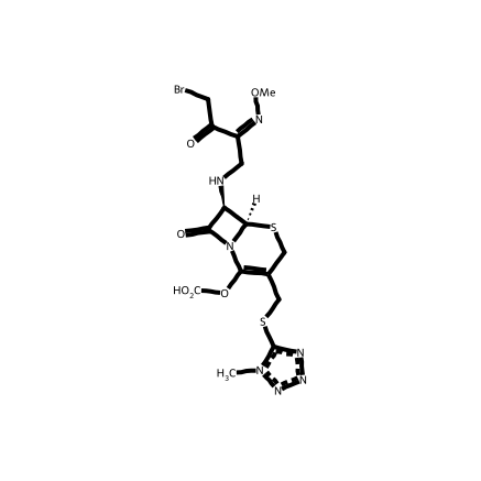 CO/N=C(/CN[C@@H]1C(=O)N2C(OC(=O)O)=C(CSc3nnnn3C)CS[C@H]12)C(=O)CBr